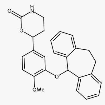 COc1ccc(C2CCNC(=O)O2)cc1OC1c2ccccc2CCc2ccccc21